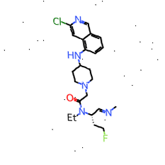 CCN(C(=O)CN1CCC(Nc2cccc3cnc(Cl)cc23)CC1)[C@H](C=NC)CCF